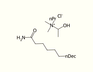 CCCCCCCCCCCCCCCC(N)=O.CCC[N+](C)(C)C(C)O.[Cl-]